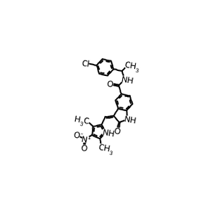 Cc1[nH]c(C=C2C(=O)Nc3ccc(C(=O)NC(C)c4ccc(Cl)cc4)cc32)c(C)c1[N+](=O)[O-]